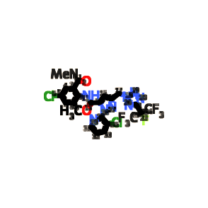 CNC(=O)c1cc(Cl)cc(C)c1NC(=O)c1cc(Cn2nnc(C(F)(C(F)(F)F)C(F)(F)F)n2)nn1-c1ncccc1Cl